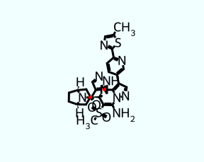 Cc1cnc(-c2ccc(-c3cnn4c(N)c(S(C)(=O)=O)c([C@H]5C[C@H]6CC[C@@H](C5)N6C(=O)c5cn[nH]n5)nc34)cn2)s1